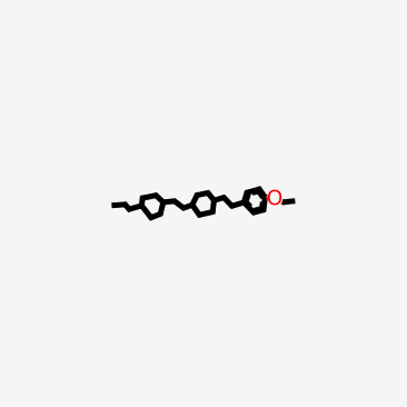 CCCC1CCC(CCC2CCC(CCc3ccc(OCC)cc3)CC2)CC1